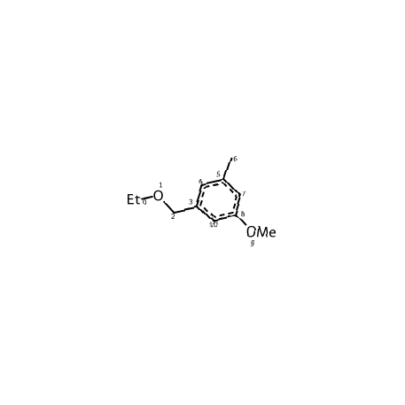 CCOCc1cc(C)cc(OC)c1